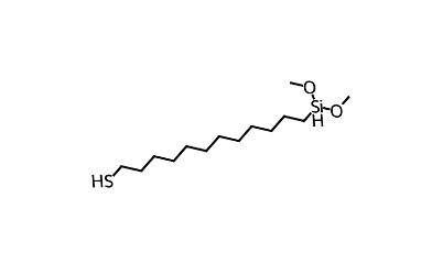 CO[SiH](CCCCCCCCCCCCS)OC